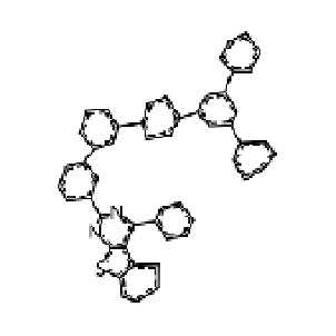 c1ccc(-c2cc(-c3ccccc3)cc(-c3ccc(-c4cccc(-c5cccc(-c6nc(-c7ccccc7)c7c(n6)sc6ccccc67)c5)c4)cc3)c2)cc1